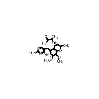 CC(O)C(=O)O.COc1cc(Cc2cnc(N)nc2N)c2c(c1OC)OC(C)C=C2